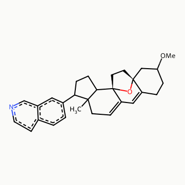 COC1CCC2=CC3=CCC4(C)C(c5ccc6ccncc6c5)CCC4[C@@]34CC[C@]2(C1)O4